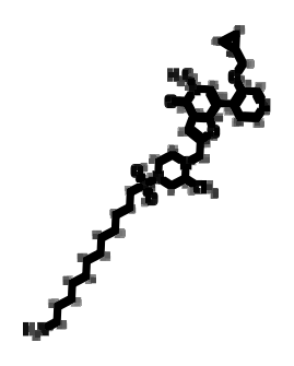 CC1CN(S(=O)(=O)CCCCCCCCCCCCN)CCN1Cc1cc2c(=O)n(C)cc(-c3ccncc3OCC3CC3)c2o1